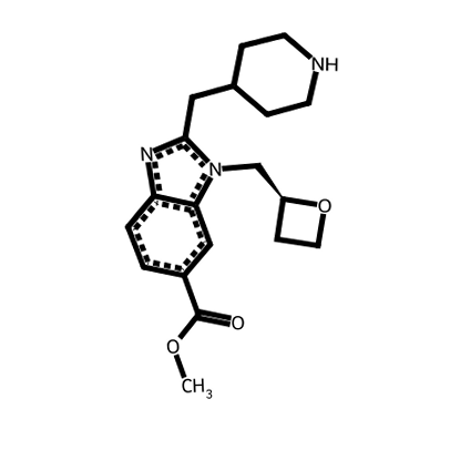 COC(=O)c1ccc2nc(CC3CCNCC3)n(C[C@@H]3CCO3)c2c1